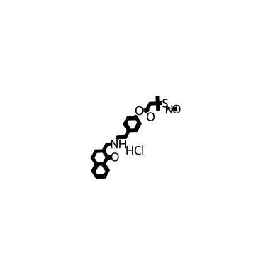 CC(C)(CC(=O)Oc1ccc(CCNCC2CCc3ccccc3C2=O)cc1)SN=O.Cl